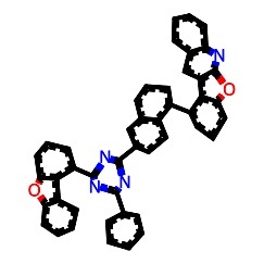 c1ccc(-c2nc(-c3ccc4c(-c5cccc6oc7nc8ccccc8cc7c56)cccc4c3)nc(-c3cccc4oc5ccccc5c34)n2)cc1